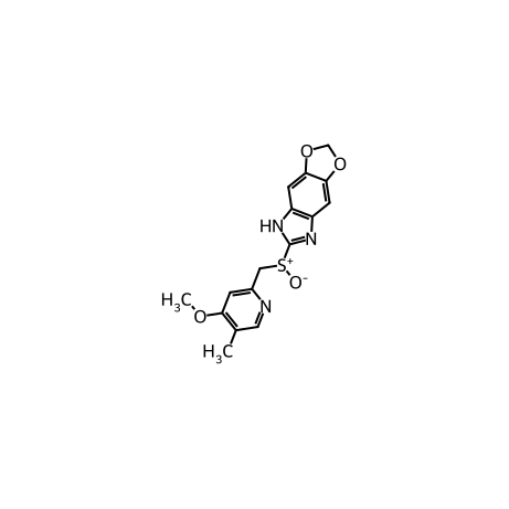 COc1cc(C[S+]([O-])c2nc3cc4c(cc3[nH]2)OCO4)ncc1C